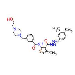 Cc1ccc(C=NNC(=O)c2c(C)csc2NC(=O)c2cccc(CN3CCN(CCO)CC3)c2)cc1C